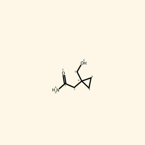 NC(=O)CC1(CO)CC1